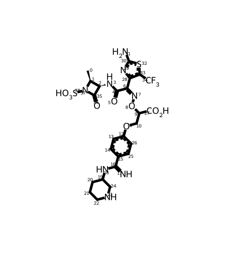 C[C@H]1[C@H](NC(=O)C(=NOC(COc2ccc(C(=N)NC3CCCNC3)cc2)C(=O)O)c2nc(N)sc2C(F)(F)F)C(=O)N1S(=O)(=O)O